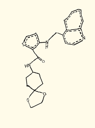 O=C(NC1CCC2(CC1)OCCO2)c1sccc1NCc1ccnc2ccccc12